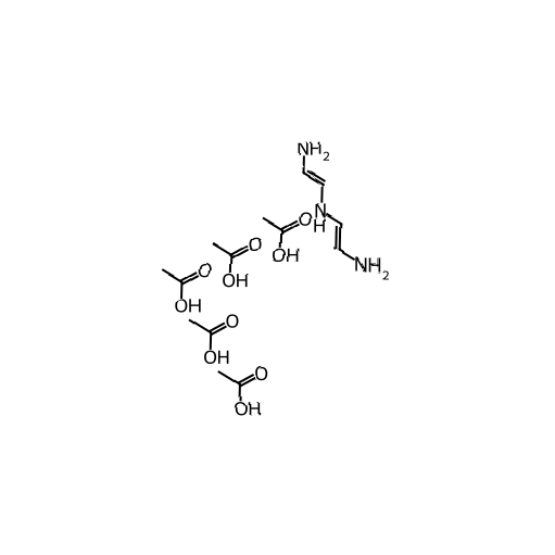 CC(=O)O.CC(=O)O.CC(=O)O.CC(=O)O.CC(=O)O.NC=CNC=CN